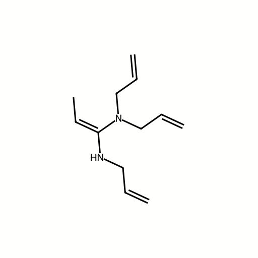 C=CCNC(=CC)N(CC=C)CC=C